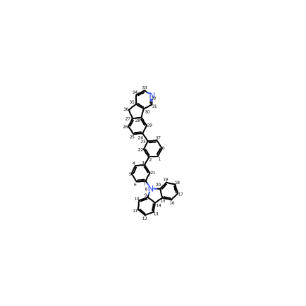 c1cc(-c2cccc(-n3c4ccccc4c4ccccc43)c2)cc(-c2ccc3c(c2)-c2cnccc2C3)c1